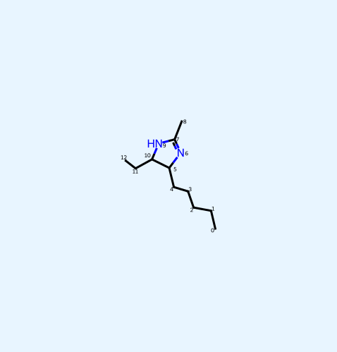 CCCCCC1N=C(C)NC1CC